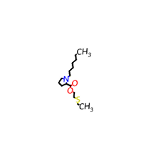 CCCCCCCN1CCCC1C(=O)OCCSCC